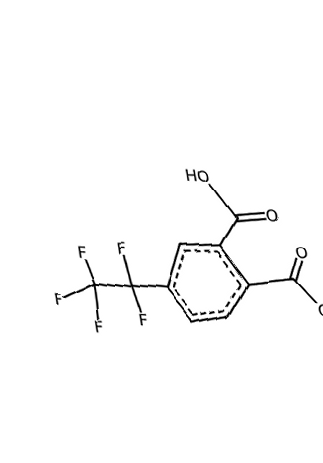 O=C(O)c1ccc(C(F)(F)C(F)(F)F)cc1C(=O)O